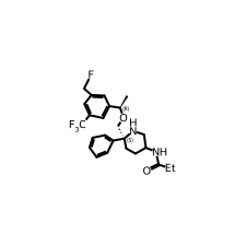 CCC(=O)NC1CC[C@@](CO[C@H](C)c2cc(CF)cc(C(F)(F)F)c2)(c2ccccc2)NC1